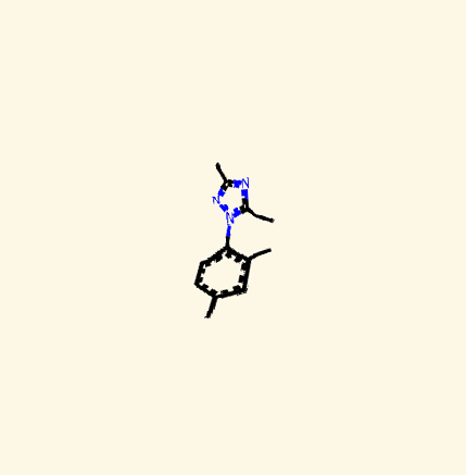 Cc1ccc(-n2nc(C)nc2C)c(C)c1